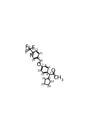 CC(=O)C(c1ccc(OCc2ccc(C(F)(F)F)nc2)cc1)C1CCCC1